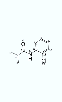 CC(C)C(=O)Nc1ccccc1Cl